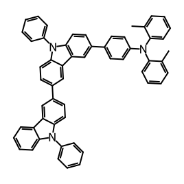 Cc1ccccc1N(c1ccc(-c2ccc3c(c2)c2cc(-c4ccc5c(c4)c4ccccc4n5-c4ccccc4)ccc2n3-c2ccccc2)cc1)c1ccccc1C